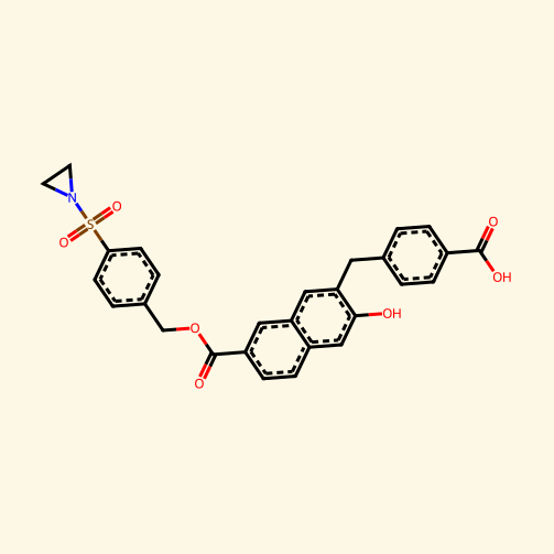 O=C(O)c1ccc(Cc2cc3cc(C(=O)OCc4ccc(S(=O)(=O)N5CC5)cc4)ccc3cc2O)cc1